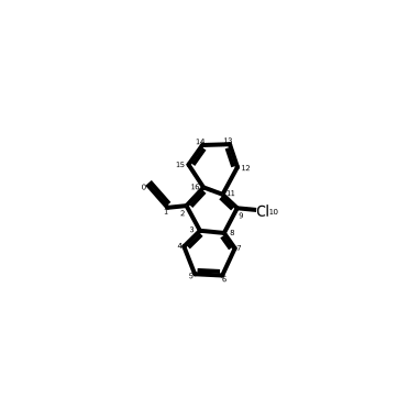 C=Cc1c2ccccc2c(Cl)c2ccccc12